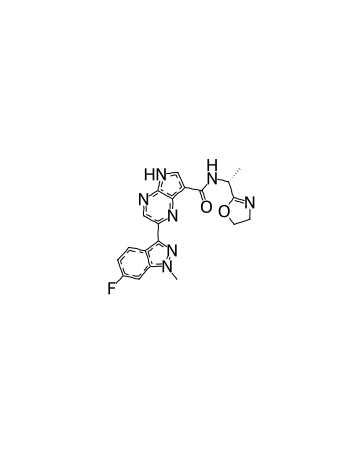 C[C@@H](NC(=O)c1c[nH]c2ncc(-c3nn(C)c4cc(F)ccc34)nc12)C1=NCCO1